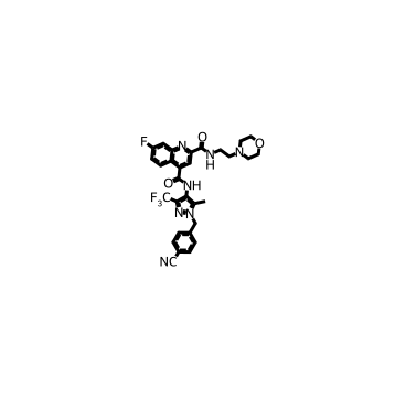 Cc1c(NC(=O)c2cc(C(=O)NCCN3CCOCC3)nc3cc(F)ccc23)c(C(F)(F)F)nn1Cc1ccc(C#N)cc1